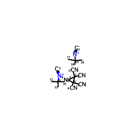 N#C[C]1(C#N)[Ni][C]1(C#N)C#N.[C-]#[N+]C(C)(C)C.[C-]#[N+]C(C)(C)C